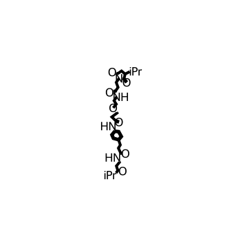 CC(C)C(=O)CCNC(=O)CCc1ccc(NC(=O)CCOCCNC(=O)CCN2C(=O)CC(C(C)C)C2=O)cc1